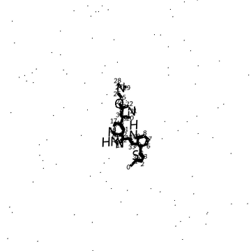 Cc1ccc(-c2cccc3[nH]c(-c4n[nH]c5ncc(-c6cncc(OCCN(C)C)c6)cc45)cc23)s1